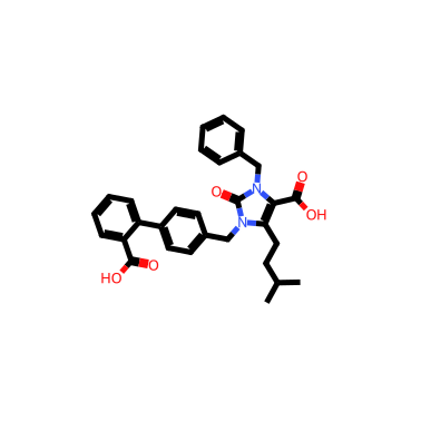 CC(C)CCc1c(C(=O)O)n(Cc2ccccc2)c(=O)n1Cc1ccc(-c2ccccc2C(=O)O)cc1